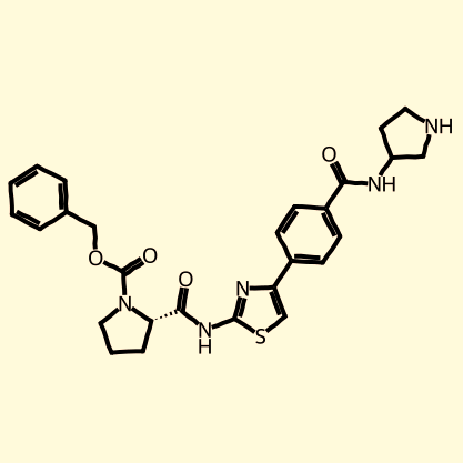 O=C(NC1CCNC1)c1ccc(-c2csc(NC(=O)[C@@H]3CCCN3C(=O)OCc3ccccc3)n2)cc1